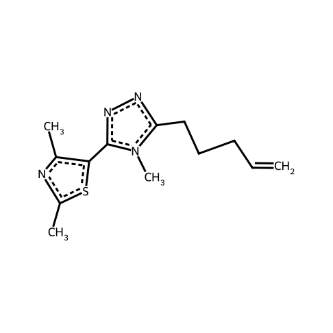 C=CCCCc1nnc(-c2sc(C)nc2C)n1C